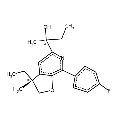 CC[C@@]1(C)COc2c1cc([C@@](C)(O)CC)nc2-c1ccc(F)cc1